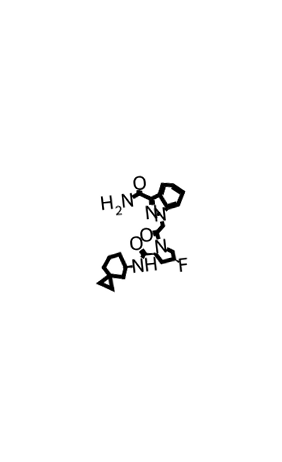 NC(=O)c1nn(CC(=O)N2C[C@H](F)C[C@H]2C(=O)N[C@@H]2CCCC3(CC3)C2)c2ccccc12